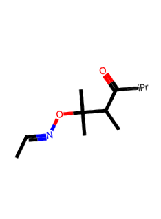 C/C=N/OC(C)(C)C(C)C(=O)C(C)C